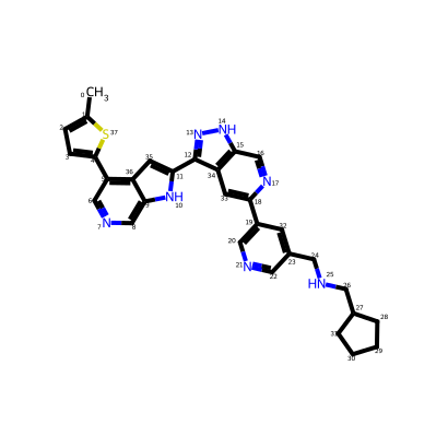 Cc1ccc(-c2cncc3[nH]c(-c4n[nH]c5cnc(-c6cncc(CNCC7CCCC7)c6)cc45)cc23)s1